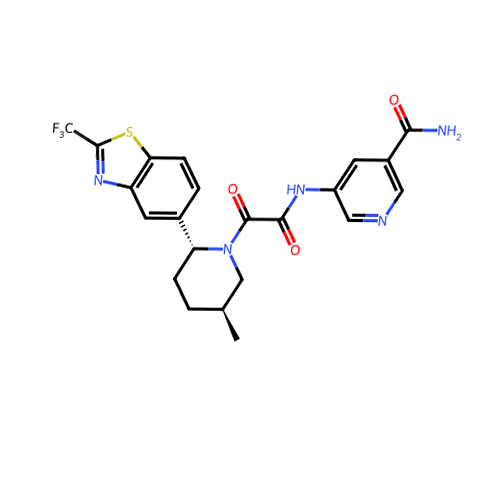 C[C@H]1CC[C@H](c2ccc3sc(C(F)(F)F)nc3c2)N(C(=O)C(=O)Nc2cncc(C(N)=O)c2)C1